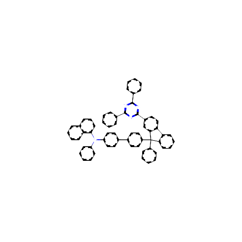 c1ccc(-c2nc(-c3ccccc3)nc(-c3ccc4c(c3)C(c3ccccc3)(c3ccc(-c5ccc(N(c6ccccc6)c6cccc7ccccc67)cc5)cc3)c3ccccc3-4)n2)cc1